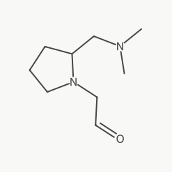 CN(C)CC1CCCN1CC=O